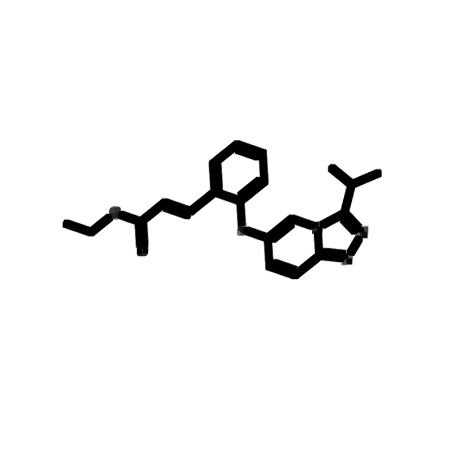 CCOC(=O)C=Cc1ccccc1Sc1ccc2nnc(C(C)C)n2c1